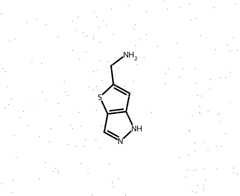 NCc1cc2[nH]ncc2s1